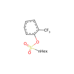 CCCCCCS(=O)(=O)Oc1ccccc1C(F)(F)F